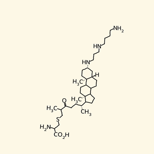 CC(CSCC(N)C(=O)O)C(=O)CC[C@@H](C)C1CCC2C3CC[C@H]4C[C@@H](NCCCNCCCCN)CC[C@]4(C)C3CC[C@@]21C